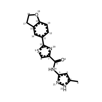 Cc1cc(NC(=O)c2csc(-c3ccc4c(c3)CCO4)n2)n[nH]1